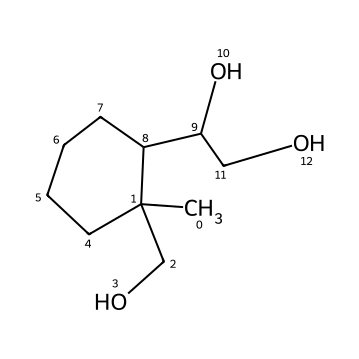 CC1(CO)CCCCC1C(O)CO